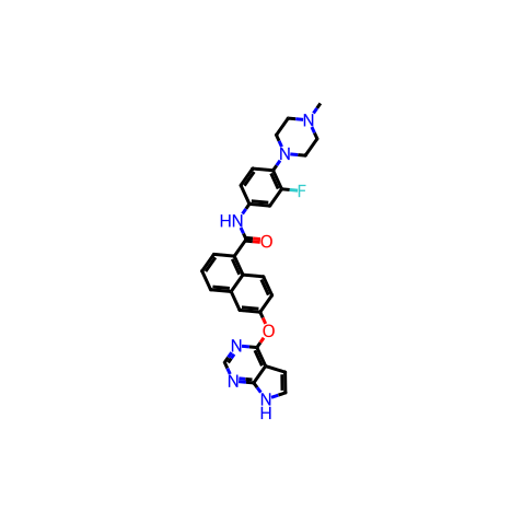 CN1CCN(c2ccc(NC(=O)c3cccc4cc(Oc5ncnc6[nH]ccc56)ccc34)cc2F)CC1